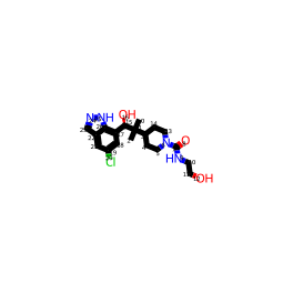 CC(C)(C1CCN(C(=O)NCCO)CC1)[C@H](O)c1cc(Cl)cc2cn[nH]c12